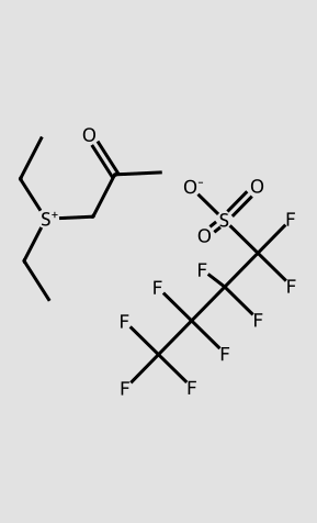 CC[S+](CC)CC(C)=O.O=S(=O)([O-])C(F)(F)C(F)(F)C(F)(F)C(F)(F)F